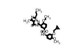 CCCc1nc(C)c2c(=O)[nH]c(-c3cc(S(=O)(=O)Nc4ccc(OC)c(OCC5CC5)c4)ccc3OCC)nn12